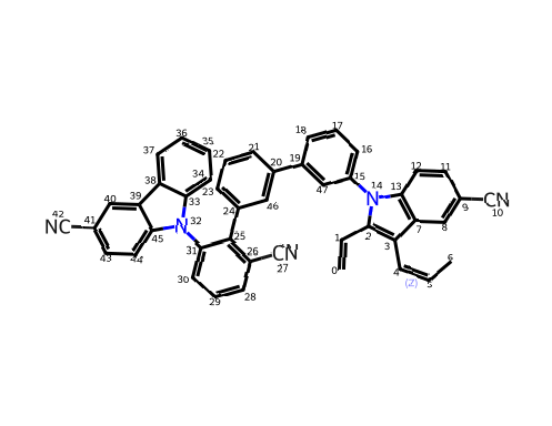 C=Cc1c(/C=C\C)c2cc(C#N)ccc2n1-c1cccc(-c2cccc(-c3c(C#N)cccc3-n3c4ccccc4c4cc(C#N)ccc43)c2)c1